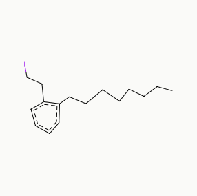 CCCCCCCCc1ccccc1CCI